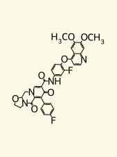 COc1cc2nccc(Oc3ccc(NC(=O)c4cn5c(c(-c6ccc(F)cc6)c4=O)C(=O)N4CCOC4C5)cc3F)c2cc1OC